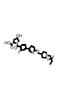 CCC(F)(F)CN1CCC(COc2ccc(-c3ccc(C(=O)N4C[C@H](O)C[C@H]4C(=O)O)c(F)c3)cn2)CC1